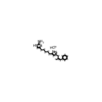 CC(=Cc1ccccc1)Cn1cc(CCCCCc2c[nH]c(N)n2)nn1.Cl